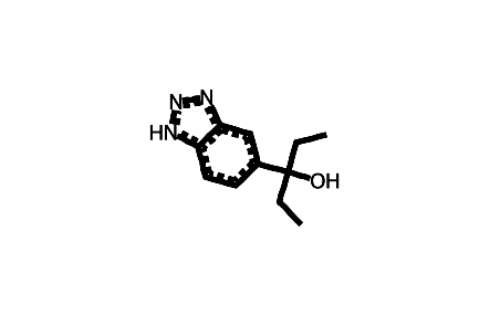 CCC(O)(CC)c1ccc2[nH]nnc2c1